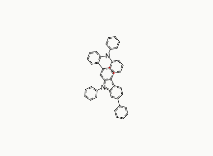 c1ccc(-c2ccc3c4ccc(-c5ccccc5N(c5ccccc5)c5ccccc5)cc4n(-c4ccccc4)c3c2)cc1